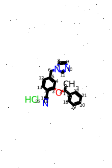 CC(Oc1cc(Cn2ccnc2)ccc1C#N)c1ccccc1.Cl